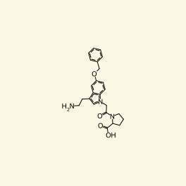 NCCc1cn(CC(=O)N2CCCC2C(=O)O)c2ccc(OCc3ccccc3)cc12